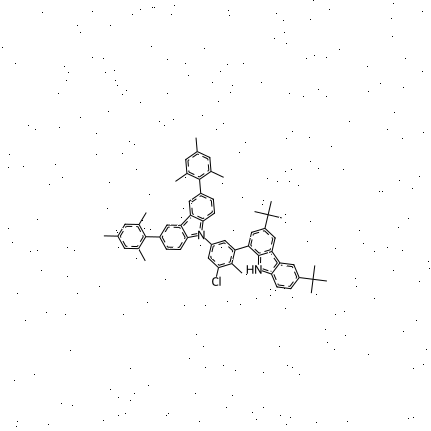 Cc1cc(C)c(-c2ccc3c(c2)c2cc(-c4c(C)cc(C)cc4C)ccc2n3-c2cc(Cl)c(C)c(-c3cc(C(C)(C)C)cc4c3[nH]c3ccc(C(C)(C)C)cc34)c2)c(C)c1